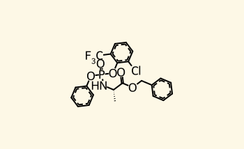 C[C@H](NP(=O)(Oc1ccccc1)Oc1c(Cl)cccc1C(F)(F)F)C(=O)OCc1ccccc1